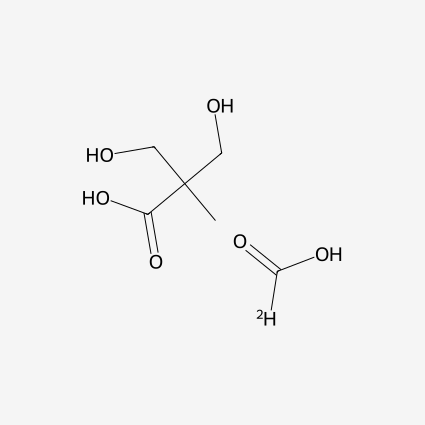 CC(CO)(CO)C(=O)O.[2H]C(=O)O